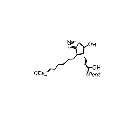 CCCCCC(O)/C=C/[C@H]1C(O)CC(=O)[C@@H]1CCCCCCC(=O)[O-].[Na+]